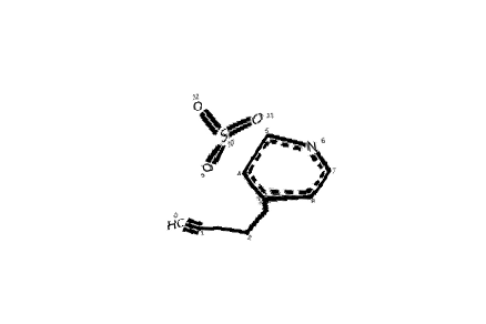 C#CCc1ccncc1.O=S(=O)=O